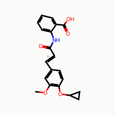 COc1cc(/C=C/C(=O)Nc2ccccc2C(=O)O)ccc1OC1CC1